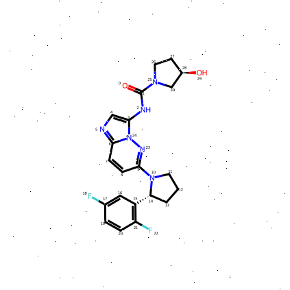 O=C(Nc1cnc2ccc(N3CCC[C@@H]3c3cc(F)ccc3F)nn12)N1CC[C@@H](O)C1